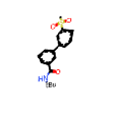 CC(C)(C)NC(=O)c1cccc(-c2cccc(S(C)(=O)=O)c2)c1